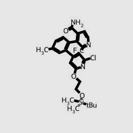 Cc1ccc(-c2c(C(N)=O)ccnc2C(F)(F)F)c(-c2cc(Cl)nc(OCCO[Si](C)(C)C(C)(C)C)c2)c1